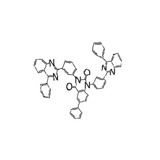 O=c1c2cc(-c3ccccc3)ccc2n(-c2cccc(-c3nc(-c4ccccc4)c4ccccc4n3)c2)c(=O)n1-c1cccc(-c2nc(-c3ccccc3)c3ccccc3n2)c1